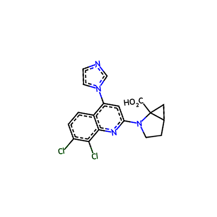 O=C(O)C12CC1CCN2c1cc(-n2ccnc2)c2ccc(Cl)c(Cl)c2n1